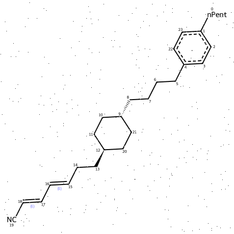 CCCCCc1ccc(CCCC[C@H]2CC[C@H](CC/C=C/C=C/C#N)CC2)cc1